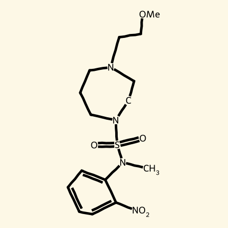 COCCN1CCCN(S(=O)(=O)N(C)c2ccccc2[N+](=O)[O-])CC1